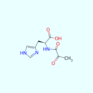 CC(=O)C(=O)N[C@@H](Cc1c[nH]cn1)C(=O)O